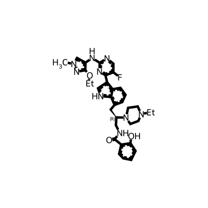 CCOc1nn(C)cc1Nc1ncc(F)c(-c2c[nH]c3c(C[C@H](CNC(=O)c4ccccc4O)N4CCN(CC)CC4)cccc23)n1